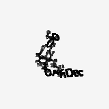 C=CC(=O)OCCCCCCCCCCCCCCCCCC.C=COC(C)=O.C=Cc1ccccc1